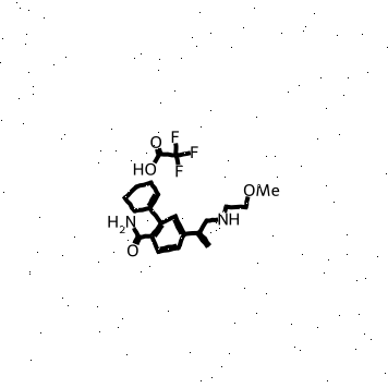 C=C(CNCCOC)c1ccc(C(N)=O)c(C2=CCCCC2)c1.O=C(O)C(F)(F)F